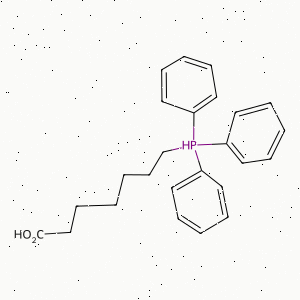 O=C(O)CCCCCC[PH](c1ccccc1)(c1ccccc1)c1ccccc1